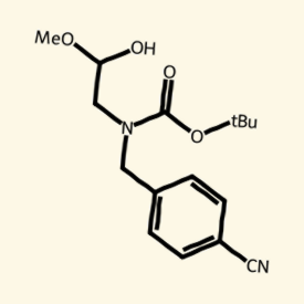 COC(O)CN(Cc1ccc(C#N)cc1)C(=O)OC(C)(C)C